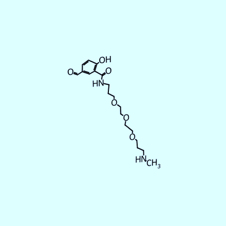 CNCCCOCCOCCOCCCNC(=O)c1cc(C=O)ccc1O